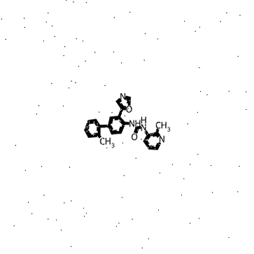 Cc1ccccc1-c1ccc(NC(=O)Nc2cccnc2C)c(-c2cnco2)c1